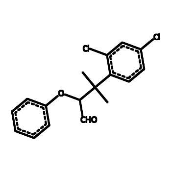 CC(C)(c1ccc(Cl)cc1Cl)C(C=O)Oc1ccccc1